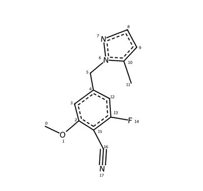 COc1cc(Cn2nccc2C)cc(F)c1C#N